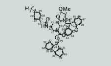 COCCCCC1(CNC(=O)[C@H]2C[C@@H](NC(=O)Cc3ccc(C)cc3)CN(C(=O)OCC3c4ccccc4-c4ccccc43)C2)c2ccccc2Oc2ccccc21